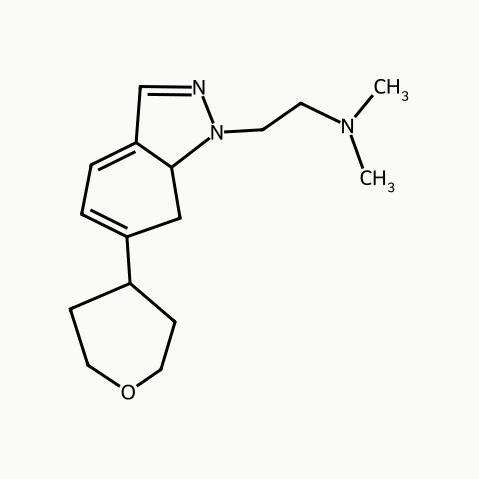 CN(C)CCN1N=CC2=CC=C(C3CCOCC3)CC21